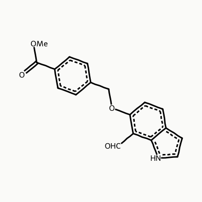 COC(=O)c1ccc(COc2ccc3cc[nH]c3c2C=O)cc1